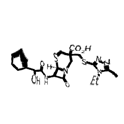 CCn1c(C)nnc1SCC1(C(=O)O)CS[C@@H]2C(NC(=O)C(O)c3ccccc3)C(=O)N2C1